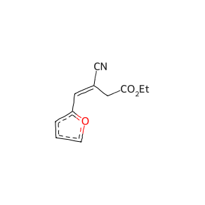 CCOC(=O)CC(C#N)=Cc1ccco1